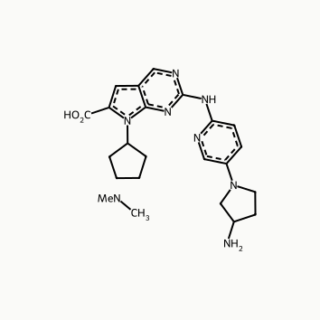 CNC.NC1CCN(c2ccc(Nc3ncc4cc(C(=O)O)n(C5CCCC5)c4n3)nc2)C1